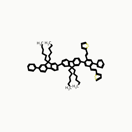 CCCCCCC1(CCCCCC)c2cc(-c3ccccc3)ccc2-c2ccc(-c3ccc4c(c3)C(CCCCCC)(CCCCCC)c3cc(-c5cc(/C=C/c6cccs6)c(-c6ccccc6)cc5/C=C/c5cccs5)ccc3-4)cc21